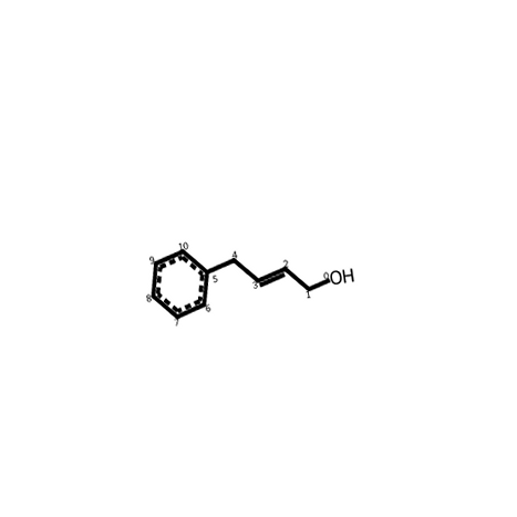 OC/C=C/Cc1ccccc1